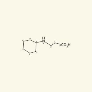 O=C(O)CCNC1CCCCC1